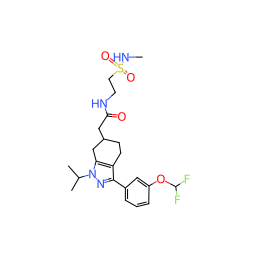 CNS(=O)(=O)CCNC(=O)CC1CCc2c(-c3cccc(OC(F)F)c3)nn(C(C)C)c2C1